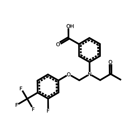 CC(=O)CN(COc1ccc(C(F)(F)F)c(F)c1)c1cccc(C(=O)O)c1